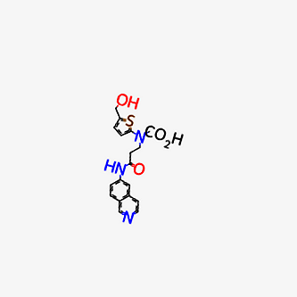 O=C(CCN(C(=O)O)c1ccc(CO)s1)Nc1ccc2cnccc2c1